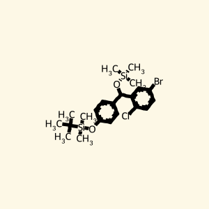 CC(C)(C)[Si](C)(C)Oc1ccc(C(O[Si](C)(C)C)c2cc(Br)ccc2Cl)cc1